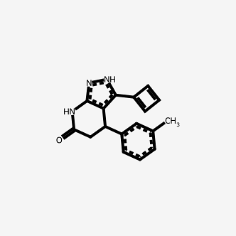 Cc1cccc(C2CC(=O)Nc3n[nH]c(C4=CC=C4)c32)c1